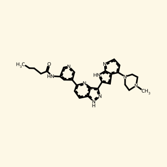 CCCCC(=O)Nc1cncc(-c2ccc3[nH]nc(-c4cc5c(N6CCN(C)CC6)ccnc5[nH]4)c3n2)c1